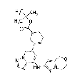 CC(C)(C)OC(=O)N1CCC=C(c2cc(Nc3cc4n(n3)CCOC4)c3ncnn3c2)C1